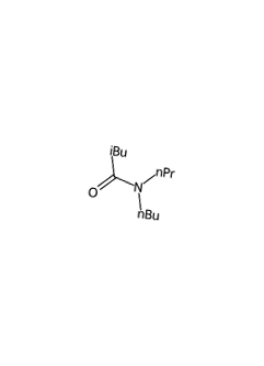 CCCCN(CCC)C(=O)C(C)CC